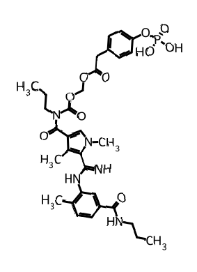 CCCNC(=O)c1ccc(C)c(NC(=N)c2c(C)c(C(=O)N(CCC)C(=O)OCOC(=O)Cc3ccc(OP(=O)(O)O)cc3)cn2C)c1